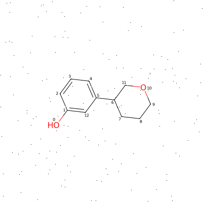 Oc1cccc(C2CCCOC2)c1